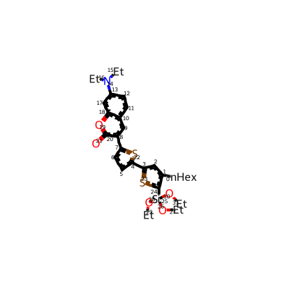 CCCCCCc1cc(-c2ccc(-c3cc4ccc(N(CC)CC)cc4oc3=O)s2)sc1[Si](OCC)(OCC)OCC